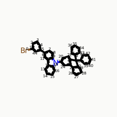 Brc1cccc(-c2ccc3c(c2)c2ccccc2n3-c2ccc3c(c2)-c2ccccc2C3(c2ccccc2)c2ccccc2)c1